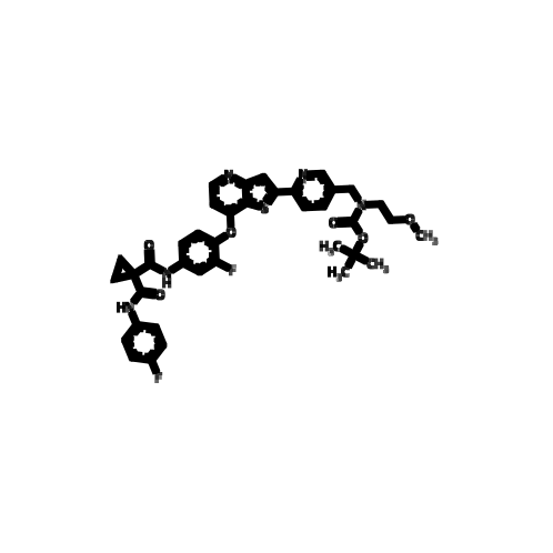 COCCN(Cc1ccc(-c2cc3nccc(Oc4ccc(NC(=O)C5(C(=O)Nc6ccc(F)cc6)CC5)cc4F)c3s2)nc1)C(=O)OC(C)(C)C